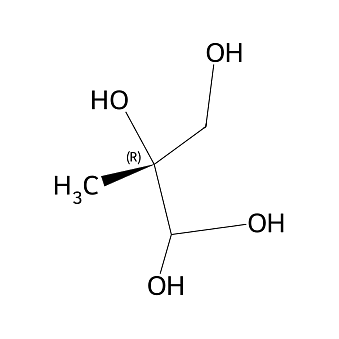 C[C@@](O)(CO)C(O)O